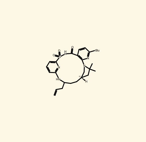 C=CCC1CC[C@@H]2CN(c3nc(C(C)(C)C)ccc3C(=O)NS(=O)(=O)c3cccc(n3)N1)C(C)(C)C2